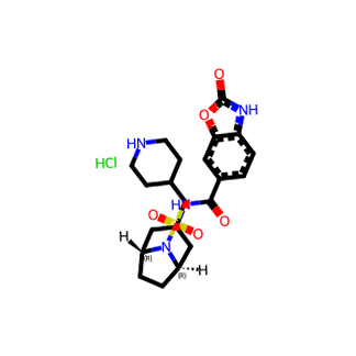 Cl.O=C(NC1C[C@H]2CC[C@H](C1)N2S(=O)(=O)CC1CCNCC1)c1ccc2[nH]c(=O)oc2c1